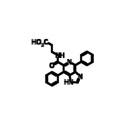 O=C(O)CCNC(=O)c1nc(-c2ccccc2)c2nc[nH]c2c1-c1ccccc1